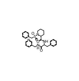 O=C(NCc1cccnc1)C(Cc1ccccc1)NC(=O)C1CCCCN1S(=O)(=O)Cc1ccccc1